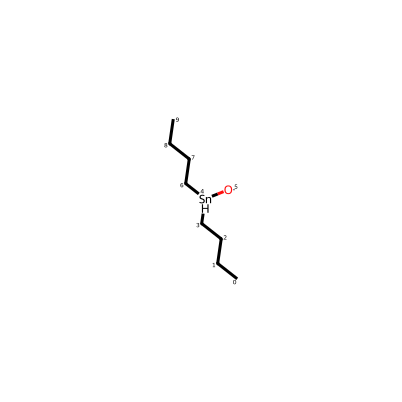 CCC[CH2][SnH]([O])[CH2]CCC